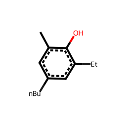 CCCCc1cc(C)c(O)c(CC)c1